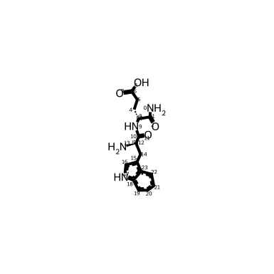 NC(=O)[C@@H](CCC(=O)O)NC(=O)[C@H](N)Cc1c[nH]c2ccccc12